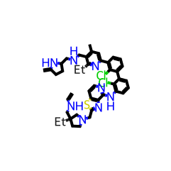 C=CNCC1(CC)CCN(Cc2nc3c(Nc4cccc(-c5cccc(-c6cc(C)c(CNCC7CCC(=C)N7)c(CC)n6)c5Cl)c4Cl)nccc3s2)C1